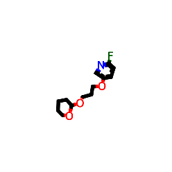 Fc1ccc(OCCCOC2CCCCO2)cn1